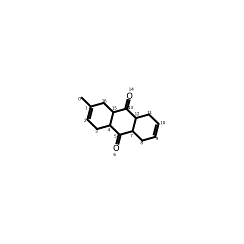 CC1=CCC2C(=O)C3CC=CCC3C(=O)C2C1